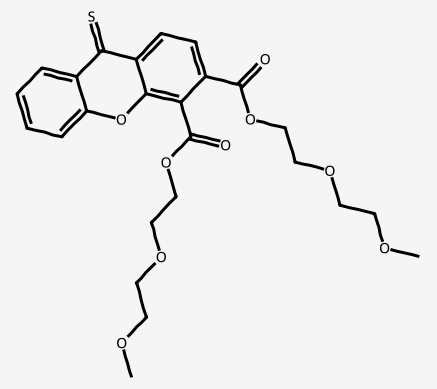 COCCOCCOC(=O)c1ccc2c(=S)c3ccccc3oc2c1C(=O)OCCOCCOC